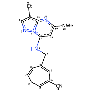 CCc1cnn2c(NCC3=CC(C#N)=CCC=C3)cc(NC)nc12